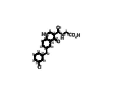 O=C(O)CNC(=O)c1c[nH]c2ccc(Cc3cccc(Cl)c3)cc2c1=O